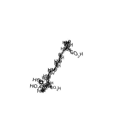 CC[C@H](C)[C@H](NC(=O)CNC(=O)CNC(=O)CNC(=O)CNC(=O)CNC(=O)CCCCCNC(=O)[C@@]1(CCCCC(=O)O)SC[C@@H]2NC(=O)N[C@@H]21)C(=O)NCC(=O)N[C@@H](CCC(=O)O)C(=O)N[C@@H](Cc1c[nH]cn1)C(=O)N[C@@H](Cc1ccc(O)cc1)C(=O)O